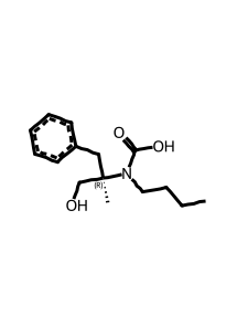 CCCCN(C(=O)O)[C@@](C)(CO)Cc1ccccc1